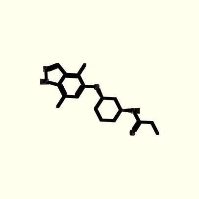 CCC(=O)N[C@H]1CCC[C@@H](Oc2cc(C)c3[nH]ncc3c2C)C1